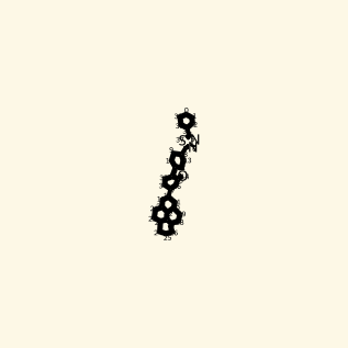 c1ccc(-c2nnc(-c3ccc4c(c3)oc3cc(-c5cc6ccc7cccc8ccc(c5)c6c78)ccc34)s2)cc1